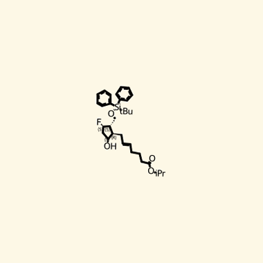 CC(C)OC(=O)CCCC=CC[C@@H]1[C@@H](CO[Si](c2ccccc2)(c2ccccc2)C(C)(C)C)[C@@H](F)C[C@@H]1O